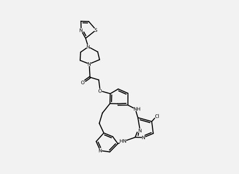 O=C(COc1ccc2cc1CCc1cncc(c1)Nc1ncc(Cl)c(n1)N2)N1CCN(c2nccs2)CC1